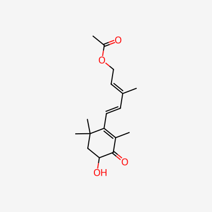 CC(=O)OCC=C(C)C=CC1=C(C)C(=O)C(O)CC1(C)C